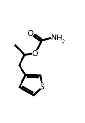 CC(Cc1ccsc1)OC(N)=O